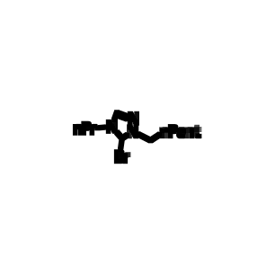 CCCCCCN1N=CN(CCC)C1Br